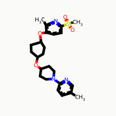 Cc1ccc(N2CCC(OC3CCC(Oc4ccc(S(C)(=O)=O)nc4C)CC3)CC2)nc1